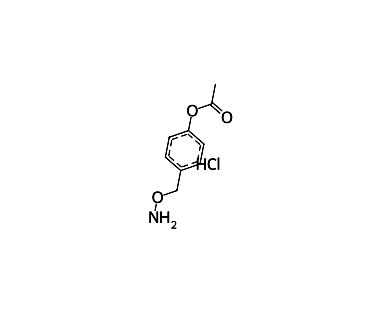 CC(=O)Oc1ccc(CON)cc1.Cl